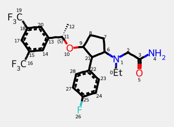 CCN(CC(N)=O)C1CCC(O[C@@H](C)c2cc(C(F)(F)F)cc(C(F)(F)F)c2)C1c1ccc(F)cc1